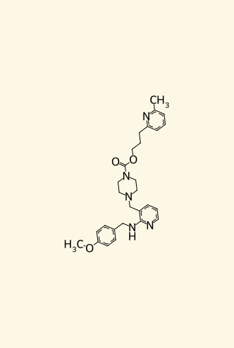 COc1ccc(CNc2ncccc2CN2CCN(C(=O)OCCCc3cccc(C)n3)CC2)cc1